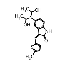 Cc1ccc(C=C2C(=O)Nc3ccc(N(C(C)O)C(C)O)cc32)s1